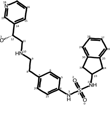 O=S(=O)(Nc1ccc(CCNC[C@H](O)c2cccnc2)cc1)NC1Cc2ccccc2C1